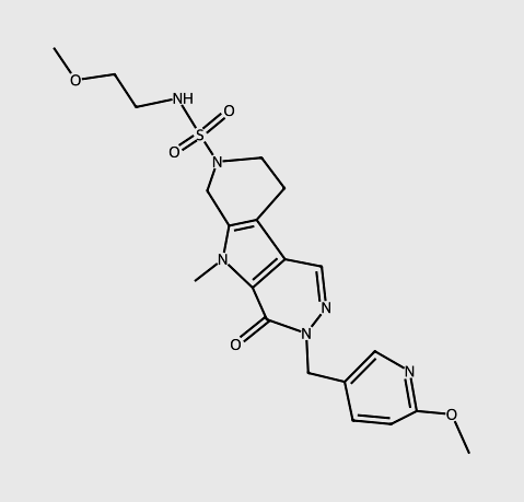 COCCNS(=O)(=O)N1CCc2c(n(C)c3c(=O)n(Cc4ccc(OC)nc4)ncc23)C1